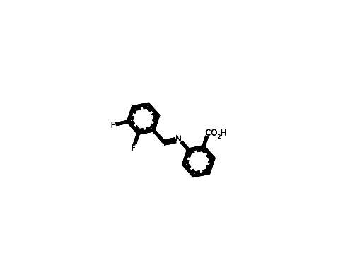 O=C(O)c1ccccc1N=Cc1cccc(F)c1F